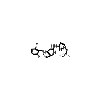 C[C@H](O)Cn1ccc(Nc2cc3c(cn2)cnn3Cc2c(F)cccc2F)n1